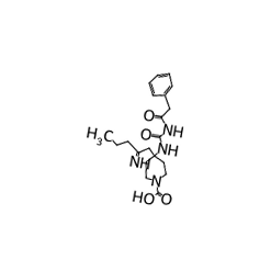 CCCC(=N)CC1(NC(=O)NC(=O)Cc2ccccc2)CCN(C(=O)O)CC1